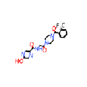 O=C(NCC(=O)N1CCN(C(=O)c2ccccc2C(F)(F)F)CC1)c1cnc(O)cn1